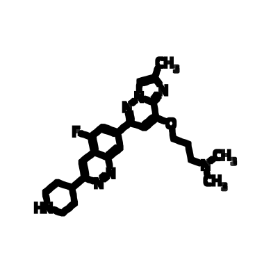 Cc1cn2nc(-c3cc(F)c4cc(C5CCNCC5)nnc4c3)cc(OCCCN(C)C)c2n1